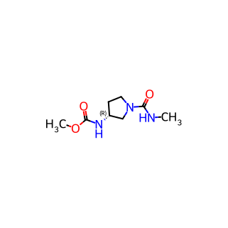 CNC(=O)N1CC[C@@H](NC(=O)OC)C1